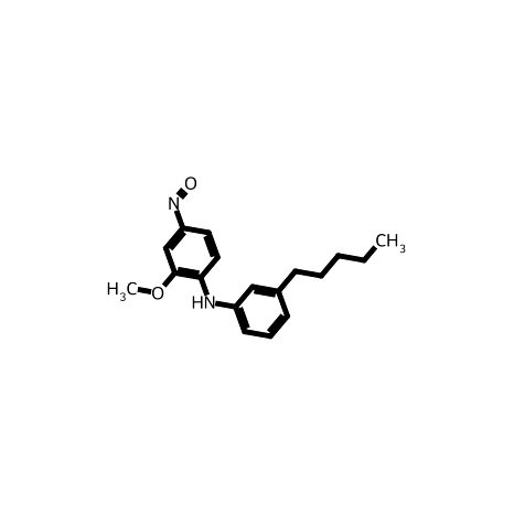 CCCCCc1cccc(Nc2ccc(N=O)cc2OC)c1